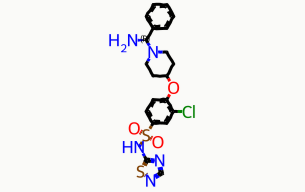 N[C@@H](c1ccccc1)N1CCC(Oc2ccc(S(=O)(=O)Nc3ncns3)cc2Cl)CC1